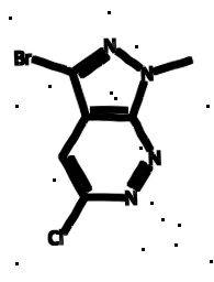 Cn1nc(Br)c2cc(Cl)nnc21